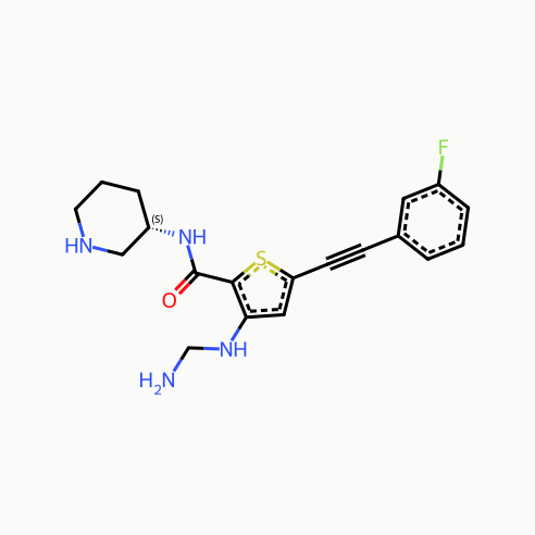 NCNc1cc(C#Cc2cccc(F)c2)sc1C(=O)N[C@H]1CCCNC1